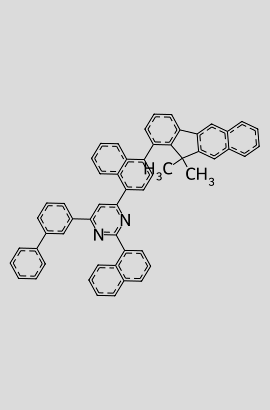 CC1(C)c2cc3ccccc3cc2-c2cccc(-c3ccc(-c4cc(-c5cccc(-c6ccccc6)c5)nc(-c5cccc6ccccc56)n4)c4ccccc34)c21